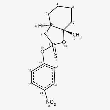 C[C@]12CCCC[C@@H]1SP(=S)(Oc1ccc([N+](=O)[O-])cc1)O2